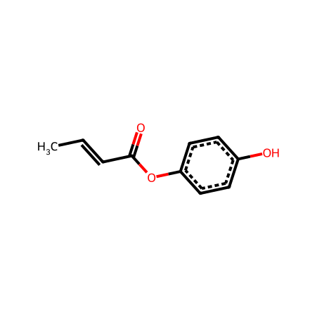 CC=CC(=O)Oc1ccc(O)cc1